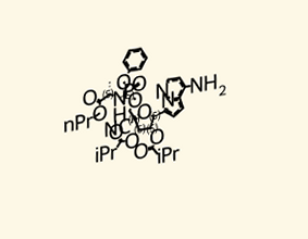 CCCOC(=O)[C@H](C)N[P@](=O)(OC[C@@]1(C#N)O[C@@H](c2ccc3c(N)ccnn23)[C@H](OC(=O)C(C)C)[C@@H]1OC(=O)C(C)C)Oc1ccccc1